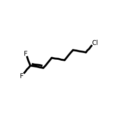 FC(F)=CCCCCCl